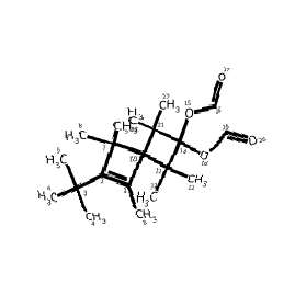 CC1=C(C(C)(C)C)C(C)(C)C12C(C)(C)C(OC=O)(OC=O)C2(C)C